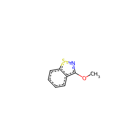 COc1nsc2ccccc12